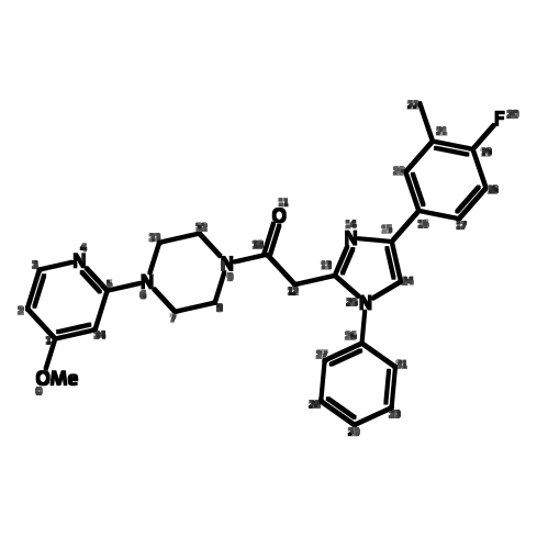 COc1ccnc(N2CCN(C(=O)Cc3nc(-c4ccc(F)c(C)c4)cn3-c3ccccc3)CC2)c1